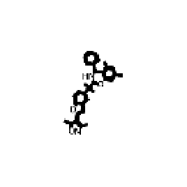 Cc1ccc(C(NC(=O)C(C)(C)c2ccc3oc(-c4c(C)noc4C)cc3c2)c2ccccc2)c(C)c1